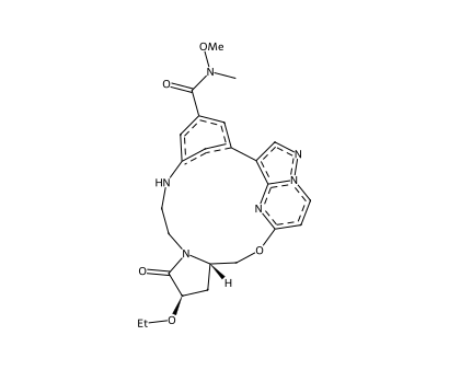 CCO[C@@H]1C[C@H]2COc3ccn4ncc(c4n3)-c3cc(cc(C(=O)N(C)OC)c3)NCCN2C1=O